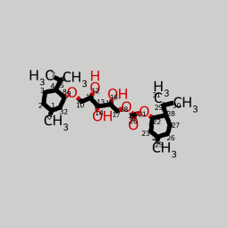 CC1CCC(C(C)C)C(OCC(O)C(O)C(O)COC(=O)OC2CC(C)CCC2C(C)C)C1